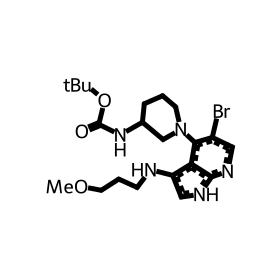 COCCCNc1c[nH]c2ncc(Br)c(N3CCCC(NC(=O)OC(C)(C)C)C3)c12